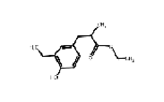 CCOC(=O)C(C)Cc1ccc(O)c(CC)c1